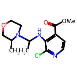 COC(=O)c1ccnc(Cl)c1NC(C)N1CCOC[C@@H]1C